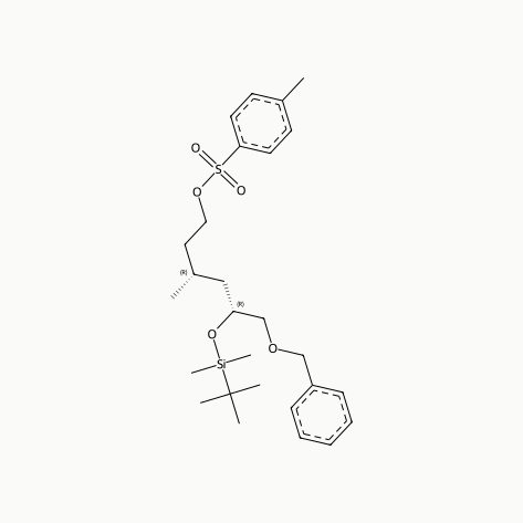 Cc1ccc(S(=O)(=O)OCC[C@@H](C)C[C@H](COCc2ccccc2)O[Si](C)(C)C(C)(C)C)cc1